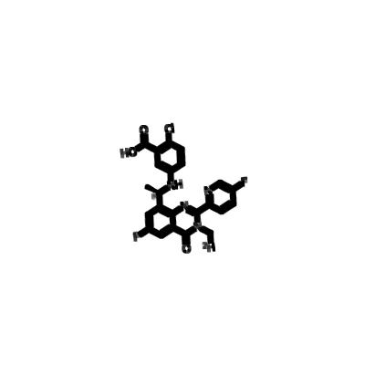 [2H]Cn1c(-c2ccc(F)cn2)nc2c([C@@H](C)Nc3ccc(Cl)c(C(=O)O)c3)cc(F)cc2c1=O